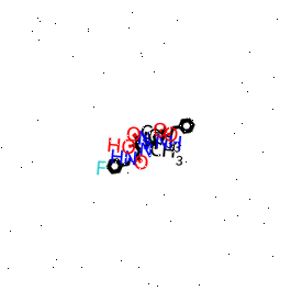 Cn1c(C(C)(C)NC(=O)OCc2ccccc2)nc(C(=O)NCc2ccc(F)cc2)c(O)c1=O